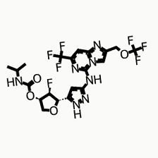 CC(C)NC(=O)O[C@H]1CO[C@@H](c2cc(Nc3nc(C(F)(F)F)cc4nc(COC(F)(F)F)cn34)n[nH]2)[C@@H]1F